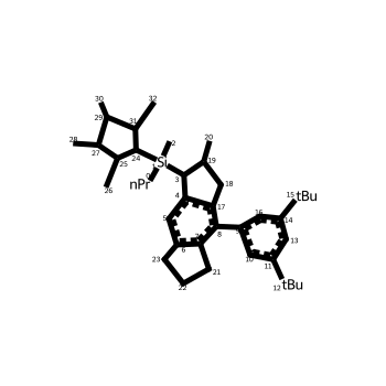 CCC[Si](C)(C1c2cc3c(c(-c4cc(C(C)(C)C)cc(C(C)(C)C)c4)c2CC1C)CCC3)C1C(C)C(C)C(C)C1C